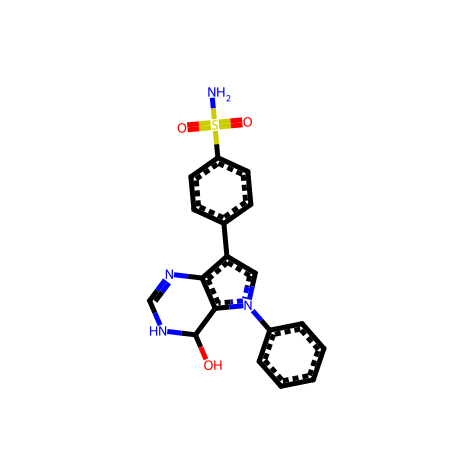 NS(=O)(=O)c1ccc(-c2cn(-c3ccccc3)c3c2N=CNC3O)cc1